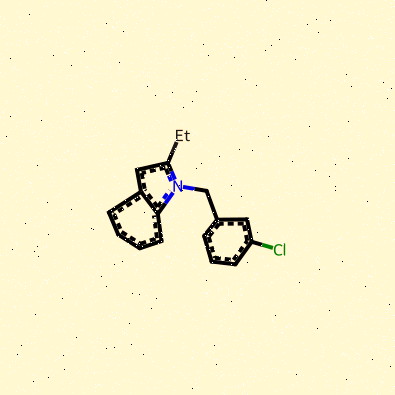 CCc1cc2ccccc2n1Cc1cccc(Cl)c1